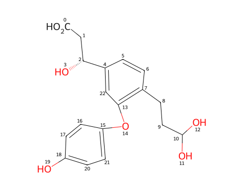 O=C(O)C[C@@H](O)c1ccc(CCC(O)O)c(Oc2ccc(O)cc2)c1